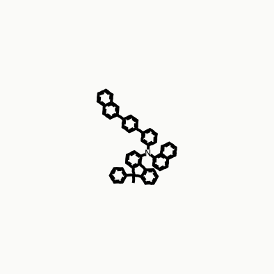 CC1(c2ccccc2)c2ccccc2-c2c(N(c3cccc(-c4ccc(-c5ccc6ccccc6c5)cc4)c3)c3cccc4ccccc34)cccc21